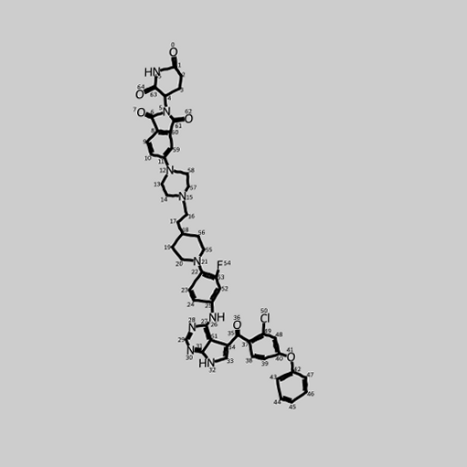 O=C1CCC(N2C(=O)c3ccc(N4CCN(CCC5CCN(c6ccc(Nc7ncnc8[nH]cc(C(=O)c9ccc(Oc%10ccccc%10)cc9Cl)c78)cc6F)CC5)CC4)cc3C2=O)C(=O)N1